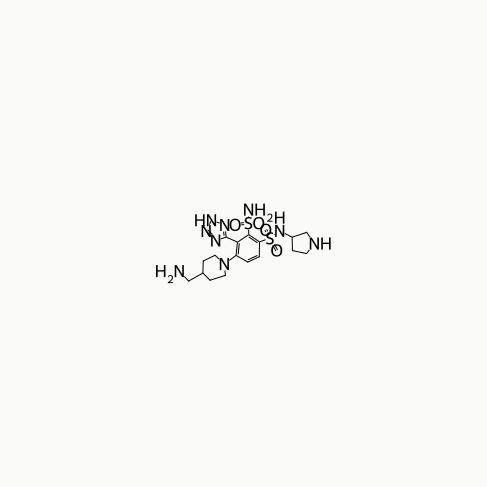 NCC1CCN(c2ccc(S(=O)(=O)NC3CCNC3)c(S(N)(=O)=O)c2-c2nn[nH]n2)CC1